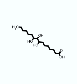 CCCCCCC(O)C(O)C(O)CCCCCCC(=O)O